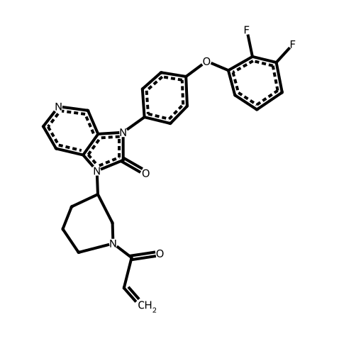 C=CC(=O)N1CCCC(n2c(=O)n(-c3ccc(Oc4cccc(F)c4F)cc3)c3cnccc32)C1